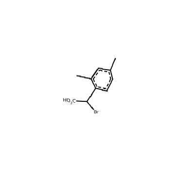 Cc1ccc(C(Br)C(=O)O)c(C)c1